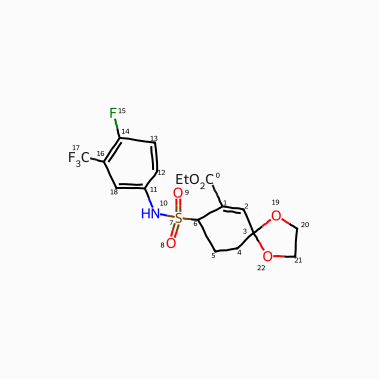 CCOC(=O)C1=CC2(CCC1S(=O)(=O)Nc1ccc(F)c(C(F)(F)F)c1)OCCO2